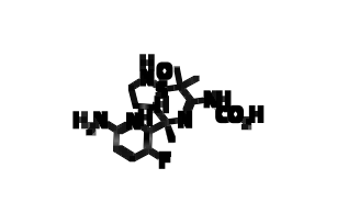 CC1(C)C(NC(=O)O)=N[C@](C)(c2nc(N)ccc2F)[C@H]2CCN[SH]21=O